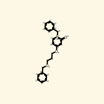 O=c1cc(OCCCOCc2ccccc2)ccn1Cc1ccccc1